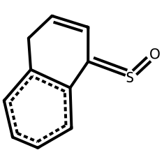 O=S=C1C=CCc2ccccc21